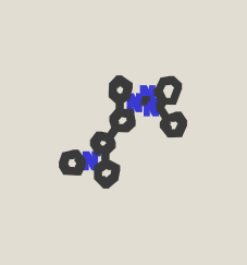 C1=Cc2nc(-n3c4ccccc4c4cc(-c5ccc6c(c5)c5ccccc5n6-c5ccccc5)ccc43)nc(-c3ccccc3)c2CC1